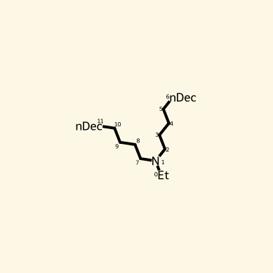 [CH2]CN(CCCCCCCCCCCCCC)CCCCCCCCCCCCCC